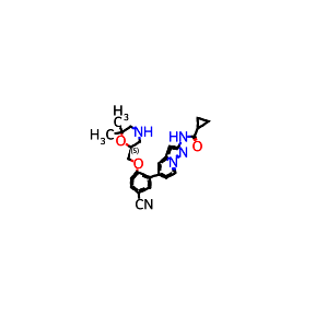 CC1(C)CNC[C@@H](COc2ccc(C#N)cc2-c2ccn3nc(NC(=O)C4CC4)cc3c2)O1